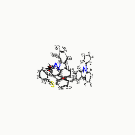 c1ccc(-n2c3ccccc3c3cc(-c4ccc5c(c4)C4(c6ccccc6S5)c5ccccc5-n5c6ccccc6c6cccc4c65)ccc32)cc1